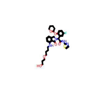 O=C(Nc1nccs1)C(c1cc(F)ccc1OC1CCCCO1)N1Cc2cccc(NCCCCOCCCO)c2C1=O